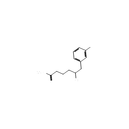 COC(=O)CCCC(C)Cc1cccc(F)c1